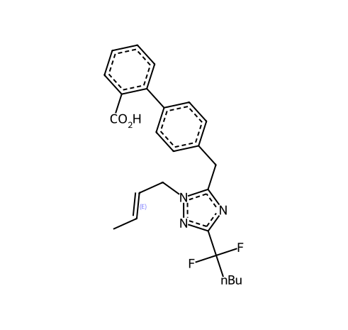 C/C=C/Cn1nc(C(F)(F)CCCC)nc1Cc1ccc(-c2ccccc2C(=O)O)cc1